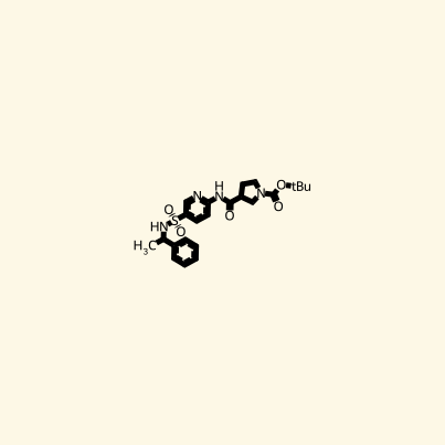 CC(NS(=O)(=O)c1ccc(NC(=O)C2CCN(C(=O)OC(C)(C)C)C2)nc1)c1ccccc1